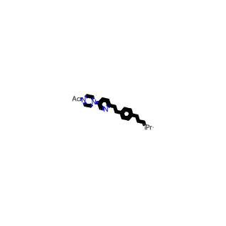 C[C](C)CCCc1ccc(CCc2ccc(N3CCN(C(C)=O)CC3)cn2)cc1